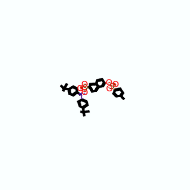 Cc1ccc(S(=O)(=O)Oc2ccc3cc(S(=O)(=O)O[I+](c4ccc(C(C)(C)C)cc4)c4ccc(C(C)(C)C)cc4)ccc3c2)cc1